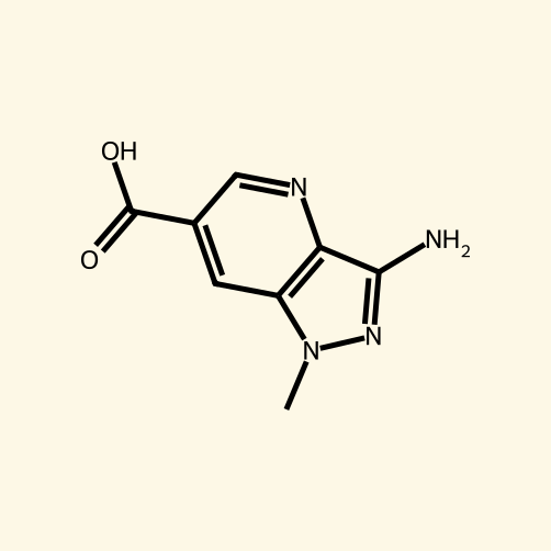 Cn1nc(N)c2ncc(C(=O)O)cc21